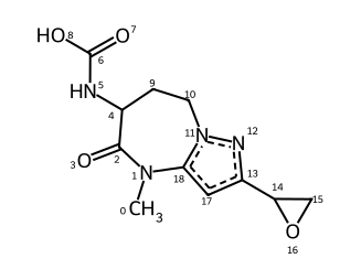 CN1C(=O)C(NC(=O)O)CCn2nc(C3CO3)cc21